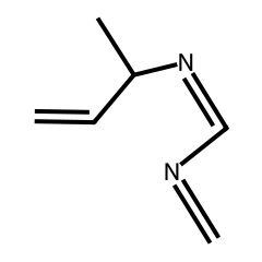 C=CC(C)/N=C\N=C